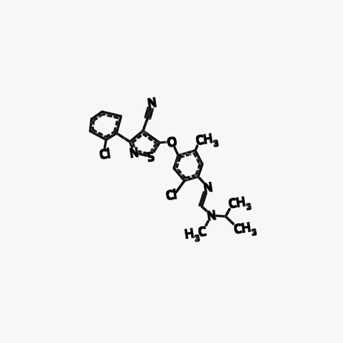 Cc1cc(N=CN(C)C(C)C)c(Cl)cc1Oc1snc(-c2ccccc2Cl)c1C#N